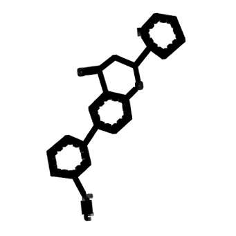 [C-]#[N+]c1cccc(-c2ccc3c(c2)C(=O)CC(c2ccccn2)O3)c1